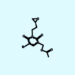 CC(=O)OCn1cc(Br)c(=O)n(CC[C@H]2CO2)c1=O